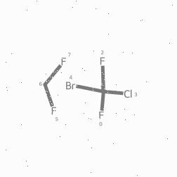 FC(F)(Cl)Br.FCF